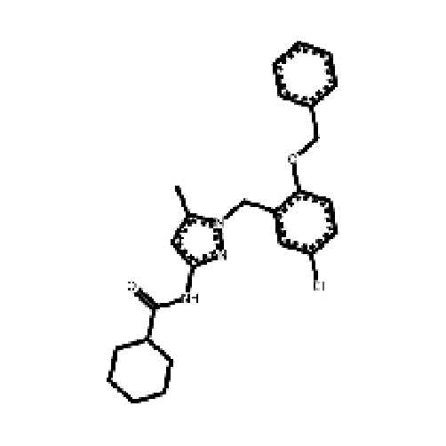 Cc1cc(NC(=O)C2CCCCC2)nn1Cc1cc(Cl)ccc1OCc1ccccc1